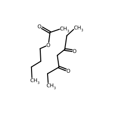 CCC(=O)CC(=O)CC.CCCCOC(C)=O